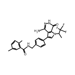 Cc1ccc(C)c(C(=O)NCc2ccc(-c3cn(C(C)C(F)(F)F)c4c(=O)[nH]nc(N)c34)cc2)c1